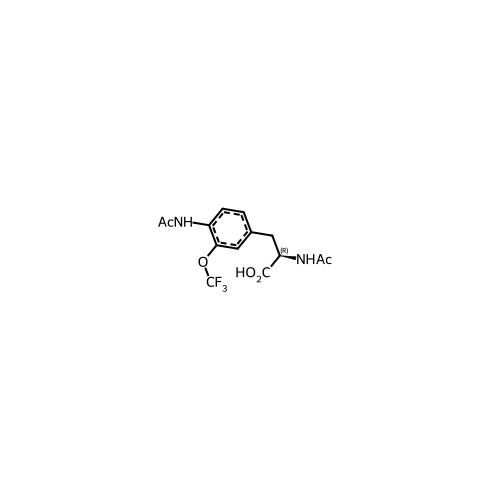 CC(=O)Nc1ccc(C[C@@H](NC(C)=O)C(=O)O)cc1OC(F)(F)F